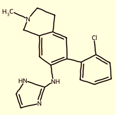 CN1CCc2cc(-c3ccccc3Cl)c(Nc3ncc[nH]3)cc2C1